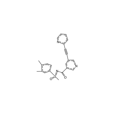 Cc1ccc(S(C)(=O)=NC(=O)c2cncc(C#Cc3ccccn3)c2)cc1C